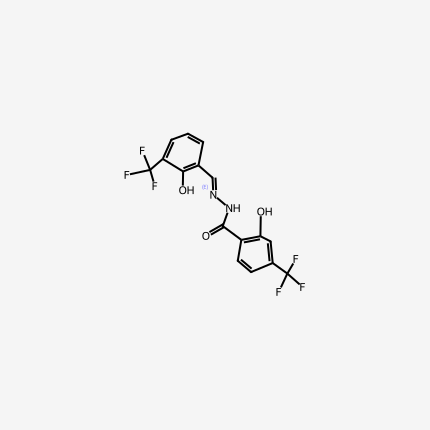 O=C(N/N=C/c1cccc(C(F)(F)F)c1O)c1ccc(C(F)(F)F)cc1O